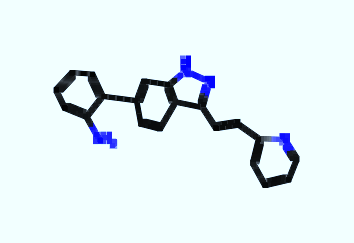 Nc1ccccc1-c1ccc2c(C=Cc3ccccn3)n[nH]c2c1